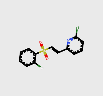 O=S(=O)(C=Cc1cccc(Cl)n1)c1ccccc1Cl